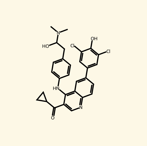 CN(C)C(O)Cc1ccc(Nc2c(C(=O)C3CC3)cnc3ccc(-c4cc(Cl)c(O)c(Cl)c4)cc23)cc1